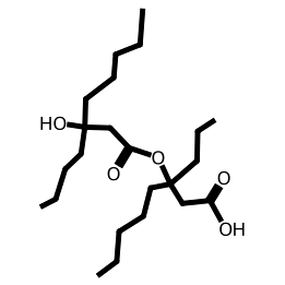 CCCCCC(O)(CCCC)CC(=O)OC(CCC)(CCCCC)CC(=O)O